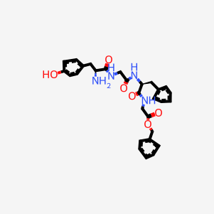 N[C@@H](Cc1ccc(O)cc1)C(=O)NCC(=O)N[C@@H](Cc1ccccc1)C(=O)NCC(=O)OCc1ccccc1